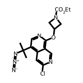 CCOC(=O)N1CC(Oc2ncc(C(C)(C)N=[N+]=[N-])c3cc(Cl)ncc23)C1